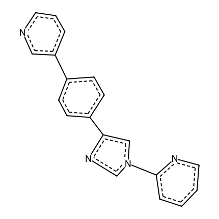 c1ccc(-n2cnc(-c3ccc(-c4cccnc4)cc3)c2)nc1